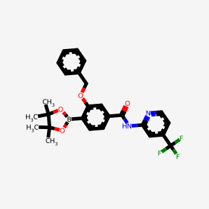 CC1(C)OB(c2ccc(C(=O)Nc3cc(C(F)(F)F)ccn3)cc2OCc2ccccc2)OC1(C)C